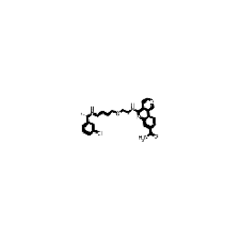 C[C@H](NCCCCOCCNc1nc2cc(C(N)=O)ccc2c2cnccc12)c1cccc(Cl)c1